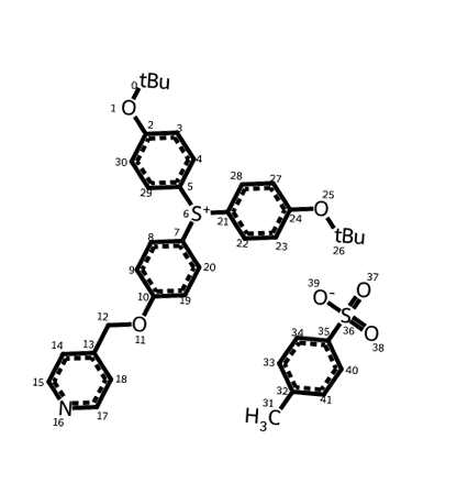 CC(C)(C)Oc1ccc([S+](c2ccc(OCc3ccncc3)cc2)c2ccc(OC(C)(C)C)cc2)cc1.Cc1ccc(S(=O)(=O)[O-])cc1